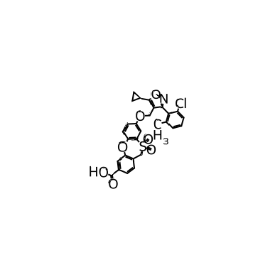 Cc1cccc(Cl)c1-c1noc(C2CC2)c1COc1ccc2c(c1)S(=O)(=O)Cc1ccc(C(=O)O)cc1O2